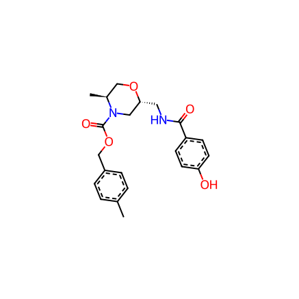 Cc1ccc(COC(=O)N2C[C@@H](CNC(=O)c3ccc(O)cc3)OC[C@@H]2C)cc1